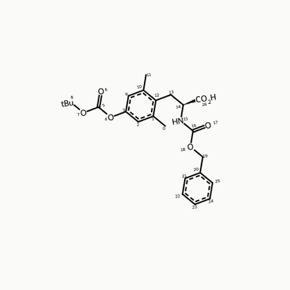 Cc1cc(OC(=O)OC(C)(C)C)cc(C)c1C[C@H](NC(=O)OCc1ccccc1)C(=O)O